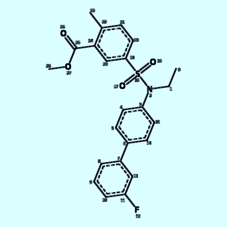 CCN(c1ccc(-c2cccc(F)c2)cc1)S(=O)(=O)c1ccc(C)c(C(=O)OC)c1